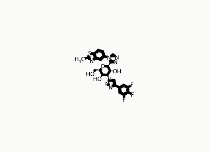 Cc1nc2cc(-n3cnnc3[C@@H]3O[C@H](CO)[C@H](O)[C@H](n4cc(-c5cc(F)c(F)c(F)c5)nn4)[C@H]3O)ccc2s1